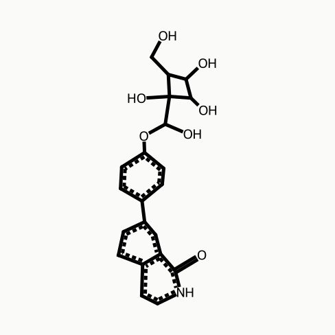 O=c1[nH]ccc2ccc(-c3ccc(OC(O)C4(O)C(O)C(O)C4CO)cc3)cc12